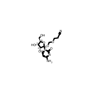 N#CCCOCO[C@@]1(n2ccc(N)nc2=O)O[C@H](CO)[C@@H](O)[C@H]1O